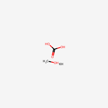 CO.O=C(O)O.[KH]